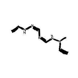 C=CN/N=C\N=C/NN(C)C=C